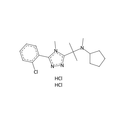 CN(C1CCCC1)C(C)(C)c1nnc(-c2ccccc2Cl)n1C.Cl.Cl